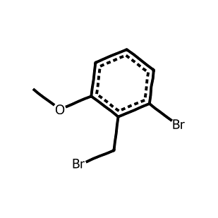 COc1cccc(Br)c1CBr